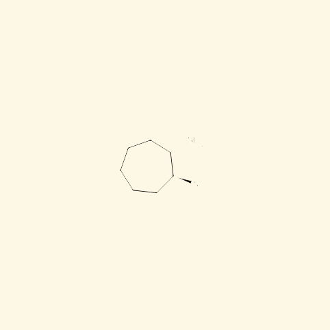 N[C@H]1CCCCC[C@@H]1N